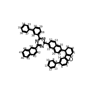 C1=Cc2oc3ccc(-c4ccccc4)cc3c2C(c2ccc3cc(-c4nc(-c5cccc(-c6ccccc6)c5)nc(-c5ccc6ccccc6c5)n4)ccc3c2)C1